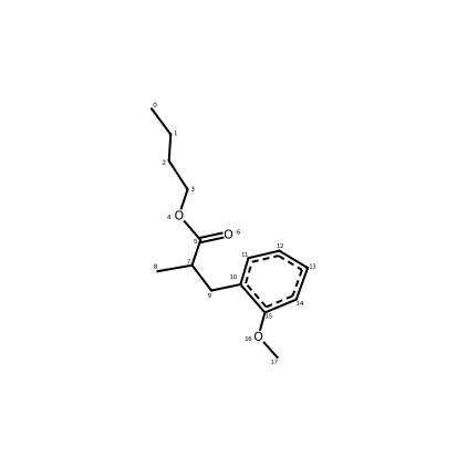 CCCCOC(=O)C(C)Cc1ccccc1OC